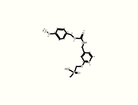 CP(=O)(O)CSc1cc(CNC(=O)OCc2ccc(OC(F)(F)F)cc2)ccn1